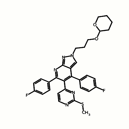 CSc1nccc(-c2c(-c3ccc(F)cc3)nc3nn(CCCOC4CCCCO4)cc3c2-c2ccc(F)cc2)n1